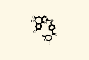 CC1CN(C(=O)c2ccc(Nc3ncc4c(n3)-c3ccc(Cl)cc3NC(=O)C4)cc2)C[C@H](C)O1